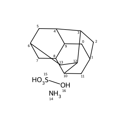 C1C2CC3C4CC5CC(C14)C(C2)C3C5.N.O=S(=O)(O)O